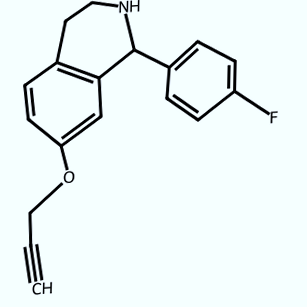 C#CCOc1ccc2c(c1)C(c1ccc(F)cc1)NCC2